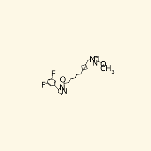 COc1ccn(CC23CC(CCCCCC(=O)N4N=CCC4c4cc(F)cc(F)c4)(C2)C3)n1